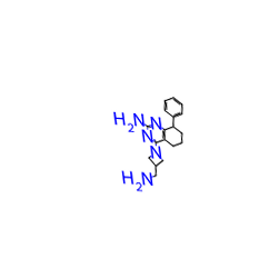 NCC1CN(c2nc(N)nc3c2CCCC3c2ccccc2)C1